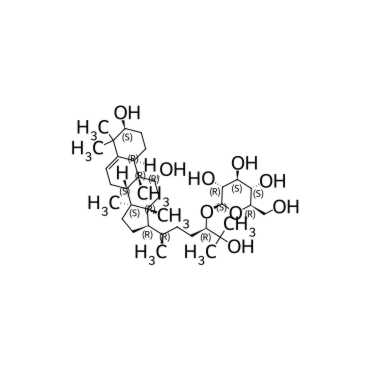 C[C@H](CC[C@@H](O[C@@H]1O[C@H](CO)[C@@H](O)[C@H](O)[C@H]1O)C(C)(C)O)[C@H]1CC[C@@]2(C)[C@@H]3CC=C4[C@@H](CC[C@H](O)C4(C)C)[C@]3(C)[C@H](O)C[C@]12C